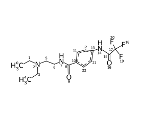 CCN(CC)CCNC(=O)c1ccc(NC(=O)C(F)(F)F)cc1